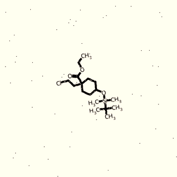 CCOC(=O)C1(CCCl)CCC(O[Si](C)(C)C(C)(C)C)CC1